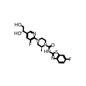 C[C@H]1CN(c2ncc([C@H](O)CO)cc2F)CCN1C(=O)Nc1nc2ccc(F)cc2s1